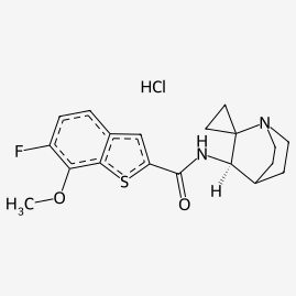 COc1c(F)ccc2cc(C(=O)N[C@@H]3C4CCN(CC4)C34CC4)sc12.Cl